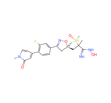 Cn1ccc(-c2ccc(C3=NO[C@@H](CC(C)(C(=N)NO)[SH](C)(C)=O)C3)cc2F)cc1=O